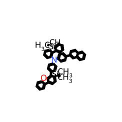 C[Si]1(C)c2ccccc2-c2c(N(c3ccc(-c4ccc5ccccc5c4)cc3)c3ccc4c(c3)[Si](C)(C)c3ccc5c(oc6ccccc65)c3-4)cccc21